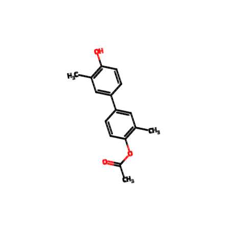 CC(=O)Oc1ccc(-c2ccc(O)c(C)c2)cc1C